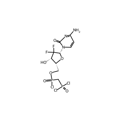 Nc1ccn([C@@H]2O[C@H](COP(=O)(Cl)CP(=O)(Cl)Cl)[C@H](O)C2(F)F)c(=O)n1